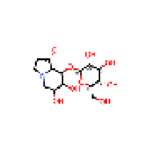 OC[C@H]1O[C@@H](OC2C(O)C(O)CN3CC[C@H](O)C23)[C@H](O)[C@@H](O)[C@@H]1O